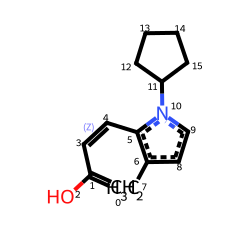 C=C(O)/C=C\c1c(C)ccn1C1CCCC1